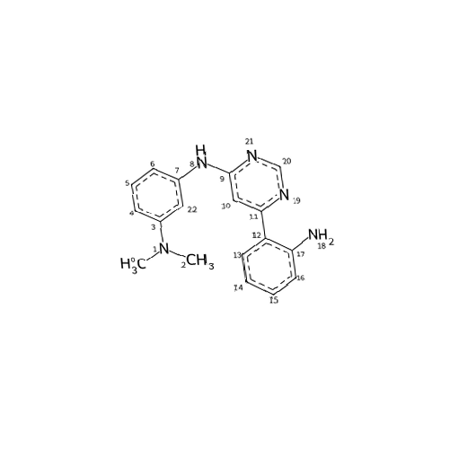 CN(C)c1cccc(Nc2cc(-c3ccccc3N)ncn2)c1